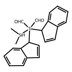 C[SiH](C)[Ti]([CH]=O)([CH]=O)([CH]1C=Cc2ccccc21)[CH]1C=Cc2ccccc21